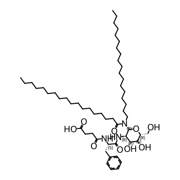 CCCCCCCCCCCCCCCCCCN(C(=O)CCCCCCCCCCCCCCCCC)[C@@H]1O[C@H](CO)[C@@H](O)[C@H](O)[C@H]1NC(=O)[C@H](Cc1ccccc1)NC(=O)CCC(=O)O